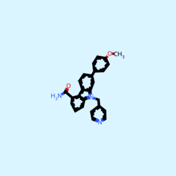 COc1ccc(-c2c[c]c3c4c(C(N)=O)cccc4n(Cc4ccncc4)c3c2)cc1